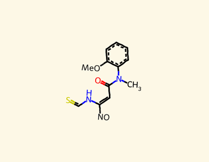 COc1ccccc1N(C)C(=O)/C=C(/N=O)NC=S